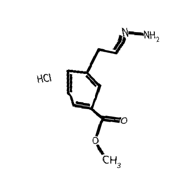 COC(=O)c1cccc(CC=NN)c1.Cl